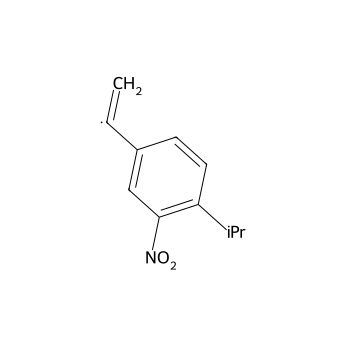 C=[C]c1ccc(C(C)C)c([N+](=O)[O-])c1